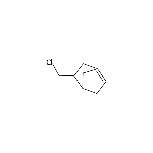 ClCC1CC2=CCC1C2